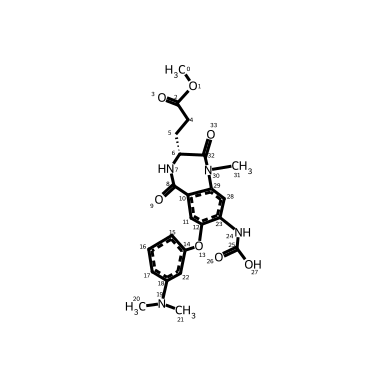 COC(=O)CC[C@H]1NC(=O)c2cc(Oc3cccc(N(C)C)c3)c(NC(=O)O)cc2N(C)C1=O